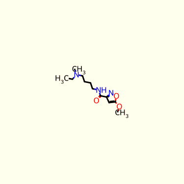 CCN(C)CCCCNC(=O)c1cc(OC)on1